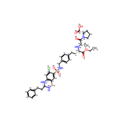 CCOC(=O)[C@H](CCc1ccc(CNS(=O)(=O)c2cc3c(cc2Cl)NC(CCc2ccccc2)NS3)cc1)N[C@@H](C)C(=O)N1CCC[C@H]1C(=O)O